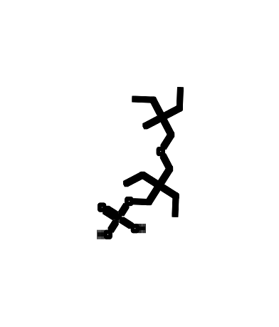 CCC(C)(CC)COCC(CC)(CC)COP(=O)(O)O